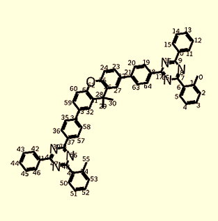 Cc1ccccc1-c1nc(-c2ccccc2)nc(-c2ccc(-c3ccc4c(c3)C(C)(C)c3cc(-c5ccc(-c6nc(-c7ccccc7)nc(-c7ccccc7C)n6)cc5)ccc3O4)cc2)n1